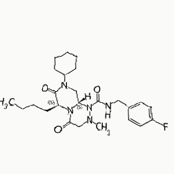 CCCC[C@H]1C(=O)N(C2CCCCC2)C[C@H]2N1C(=O)CN(C)N2C(=O)NCc1ccc(F)cc1